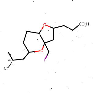 C[C@@H](C#N)CC1CCC2OC(CCC(=O)O)CC2(CI)O1